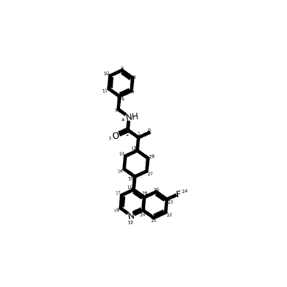 CC(C(=O)NCc1ccccc1)C1CCC(c2ccnc3ccc(F)cc23)CC1